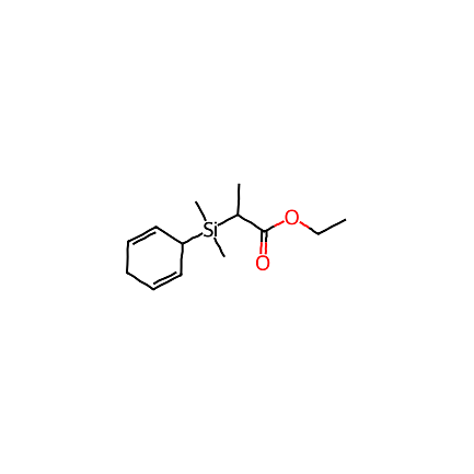 CCOC(=O)C(C)[Si](C)(C)C1C=CCC=C1